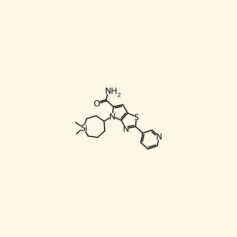 C[Si]1(C)CCCC(n2c(C(N)=O)cc3sc(-c4cccnc4)nc32)CC1